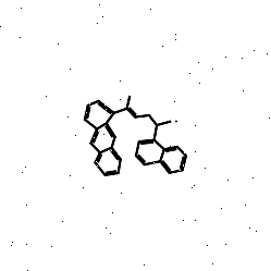 [CH2]C(CC=C(C)c1cccc2cc3ccccc3cc12)c1cccc2ccccc12